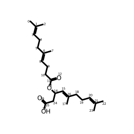 CC(C)=CCC/C(C)=C/CCC(=O)OC(/C=C(\C)CCC=C(C)C)CC(=O)O